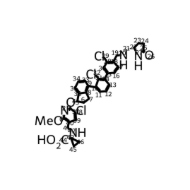 COc1nc(O[C@H]2CCc3c(-c4cccc(-c5ccc(CNC[C@@H]6CCC(=O)N6)c(Cl)c5)c4Cl)cccc32)c(Cl)cc1CNC1(C(=O)O)CC1